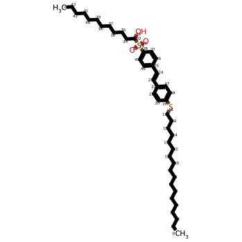 CCCCCCCCCCCCCCCCCCSc1ccc(C=Cc2ccc(S(=O)(=O)C(O)CCCCCCCCCCC)cc2)cc1